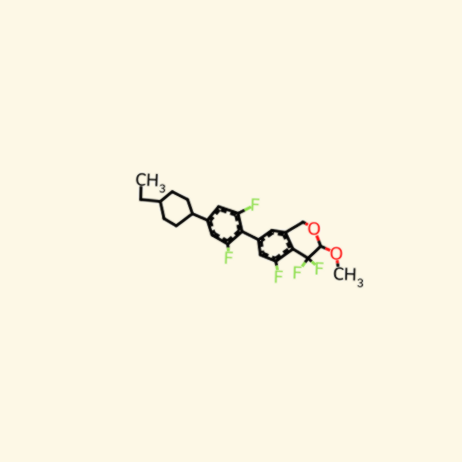 CCC1CCC(c2cc(F)c(-c3cc(F)c4c(c3)COC(OC)C4(F)F)c(F)c2)CC1